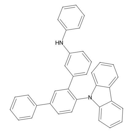 c1ccc(Nc2cccc(-c3cc(-c4ccccc4)ccc3-n3c4ccccc4c4ccccc43)c2)cc1